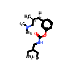 CC[C@H](c1cccc(OC(=O)NCC(CC(=O)O)CC(C)C)c1)[C@@H](C)CN(C)C